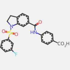 O=C(O)c1ccc(NC(=O)c2ccc3c(c2)N(S(=O)(=O)c2cccc(F)c2)CC3)cc1